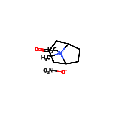 C[N+]1(C)C2CCC1CC(=O)C2.O=[N+]([O-])[O-]